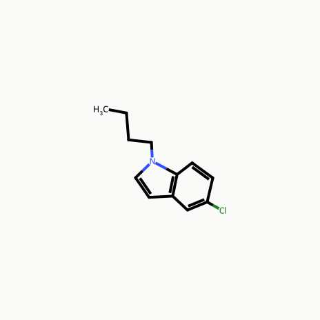 CCCCn1ccc2cc(Cl)ccc21